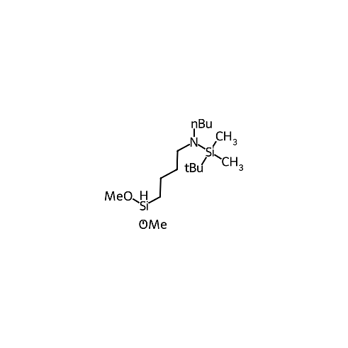 CCCCN(CCCC[SiH](OC)OC)[Si](C)(C)C(C)(C)C